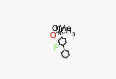 COC(=O)[C@H]([11CH3])c1ccc(-c2ccccc2)c(F)c1